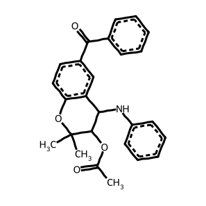 CC(=O)OC1C(Nc2ccccc2)c2cc(C(=O)c3ccccc3)ccc2OC1(C)C